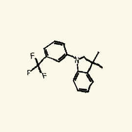 CC1(C)CN(c2cccc(C(F)(F)F)c2)c2ccccc21